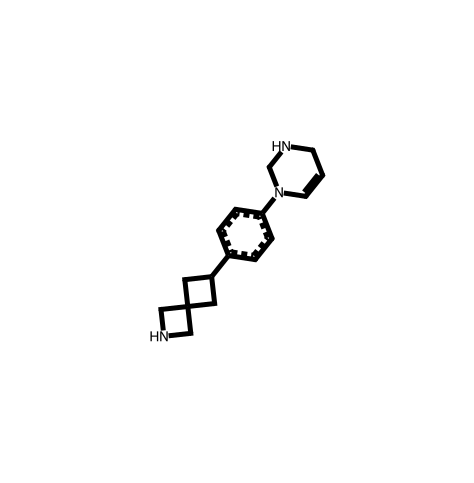 C1=CN(c2ccc(C3CC4(CNC4)C3)cc2)CNC1